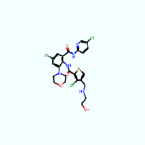 O=C(Nc1ccc(Cl)cn1)c1cc(Cl)cc(N2CCOCC2)c1NC(=O)c1scc(CNCCO)c1Cl